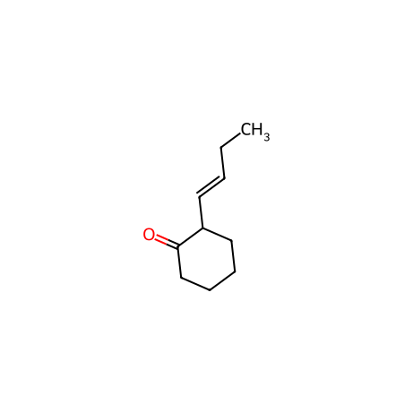 CCC=CC1CCCCC1=O